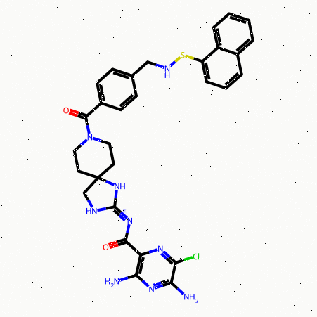 Nc1nc(N)c(C(=O)/N=C2\NCC3(CCN(C(=O)c4ccc(CNSc5cccc6ccccc56)cc4)CC3)N2)nc1Cl